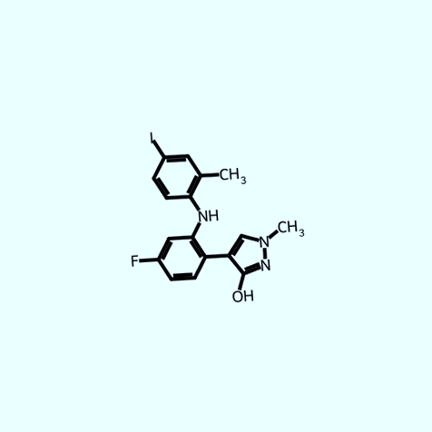 Cc1cc(I)ccc1Nc1cc(F)ccc1-c1cn(C)nc1O